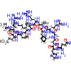 CC[C@H](C)[C@H](NC(=O)[C@H](Cc1ccccc1)NC(=O)[C@H](CCCNC(=N)N)NC(=O)[C@H](C)NC(=O)CNC(=O)[C@H](Cc1c[nH]cn1)NC(=O)[C@@H](N)CCC(N)=O)C(=O)N[C@@H](CCCNC(=N)N)C(=O)N[C@@H](CC(C)C)C(=O)N[C@@H](CCCCN)C(=O)N[C@@H](CC(C)C)C(=O)N[C@@H](CCC(=O)O)C(=O)N[C@@H](CCCNC(=N)N)C(=O)N[C@@H](C)C(=O)O